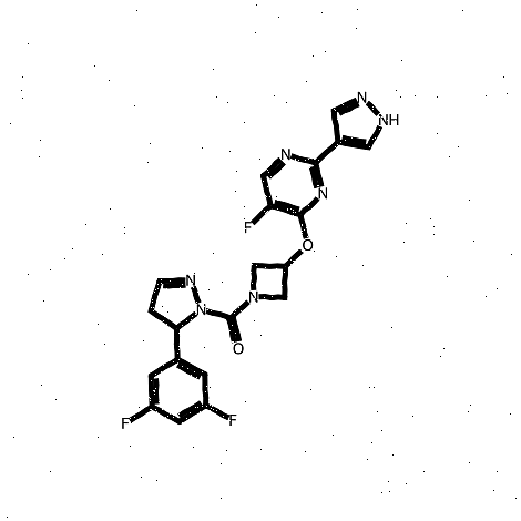 O=C(N1CC(Oc2nc(-c3cn[nH]c3)ncc2F)C1)N1N=CCC1c1cc(F)cc(F)c1